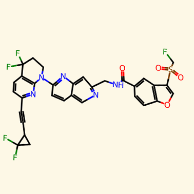 O=C(NCc1cc2nc(N3CCC(F)(F)c4ccc(C#CC5CC5(F)F)nc43)ccc2cn1)c1ccc2occ(S(=O)(=O)CF)c2c1